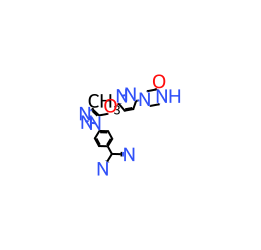 Cc1nnn(-c2ccc(C(C#N)C#N)cc2)c1COc1ccc(N2CCNC(=O)C2)nn1